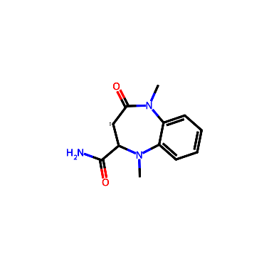 CN1C(=O)[C]C(C(N)=O)N(C)c2ccccc21